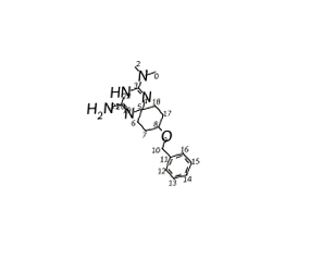 CN(C)C1=NC2(CCC(OCc3ccccc3)CC2)N=C(N)N1